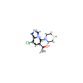 CCCC(=O)c1cc(Cl)c2cncn2c1N1CCSCC1